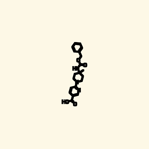 CC1(NC(=O)OCc2ccccc2)CCN(c2ccc(C(=O)O)cn2)CC1